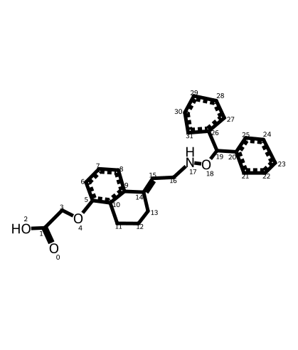 O=C(O)COc1cccc2c1CCCC2=CCNOC(c1ccccc1)c1ccccc1